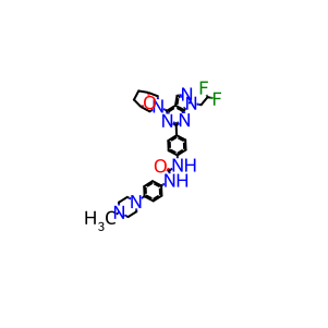 CN1CCN(c2ccc(NC(=O)Nc3ccc(-c4nc(N5CC6CCC(C5)O6)c5cnn(CC(F)F)c5n4)cc3)cc2)CC1